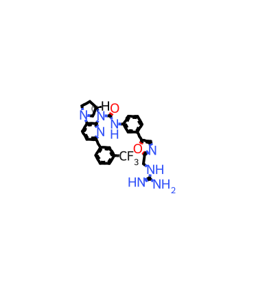 N=C(N)NCc1ncc(-c2cccc(NC(=O)N3c4nc(-c5cccc(C(F)(F)F)c5)ccc4N4CC[C@H]3C4)c2)o1